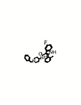 Cc1ccccc1-c1[nH]c2ccc(F)cc2c1C(=O)NC1CCN(Cc2ccccc2)CC1